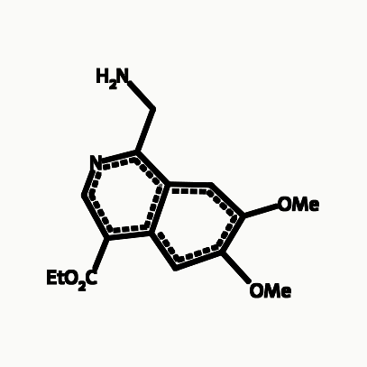 CCOC(=O)c1cnc(CN)c2cc(OC)c(OC)cc12